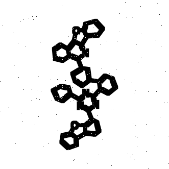 c1ccc(-c2nc(-c3ccccc3-c3cccc(-c4nc5c6ccccc6oc5c5ccccc45)c3)nc(-c3cccc4c3oc3ccccc34)n2)cc1